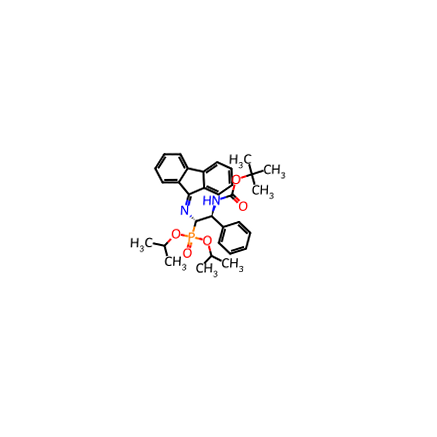 CC(C)OP(=O)(OC(C)C)[C@H](N=C1c2ccccc2-c2ccccc21)[C@@H](NC(=O)OC(C)(C)C)c1ccccc1